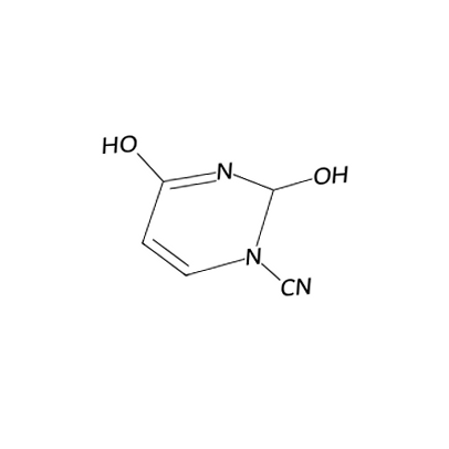 N#CN1C=CC(O)=NC1O